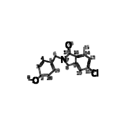 COc1ccc(CN2Cc3cc(Cl)cc(C)c3C2=O)cc1